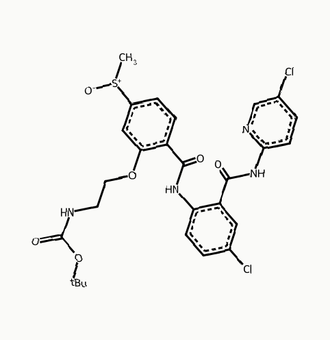 C[S+]([O-])c1ccc(C(=O)Nc2ccc(Cl)cc2C(=O)Nc2ccc(Cl)cn2)c(OCCNC(=O)OC(C)(C)C)c1